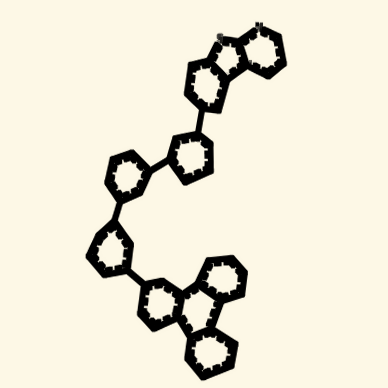 c1cc(-c2cccc(-c3ccc4sc5ncccc5c4c3)c2)cc(-c2cccc(-c3ccc4c5ccccc5c5ccccc5c4c3)c2)c1